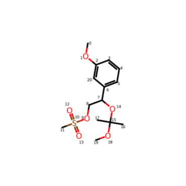 COc1cccc(C(COS(C)(=O)=O)OC(C)(C)OC)c1